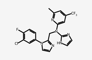 Cc1cc(C(F)(F)F)cc(N(Cc2nccn2-c2ccc(F)c(Cl)c2)c2ncc[nH]2)n1